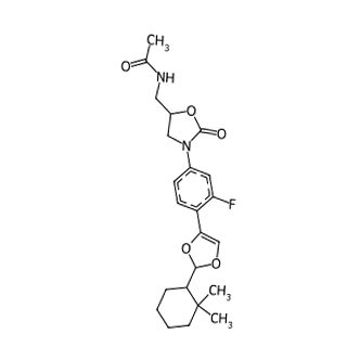 CC(=O)NCC1CN(c2ccc(C3=COC(C4CCCCC4(C)C)O3)c(F)c2)C(=O)O1